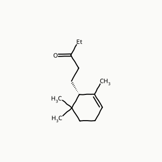 CCC(=O)CC[C@@H]1C(C)=CCCC1(C)C